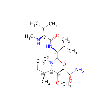 CC[C@H](C)[C@@H]([C@@H](CC(N)=O)OC)N(C)C(=O)[C@@H](NC(=O)[C@@H](NC)C(C)C)C(C)C